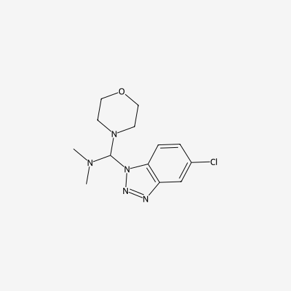 CN(C)C(N1CCOCC1)n1nnc2cc(Cl)ccc21